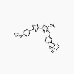 Cc1nc(-c2nc(-c3ccc(OC(F)(F)F)cc3)no2)nn1Cc1cccc(N2CCCS2(=O)=O)c1